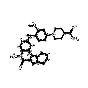 COc1cc(N2CCC(C(N)=O)CC2)ccc1Nc1ncc2c(n1)n1c(cc3ccccc31)c(=O)n2C